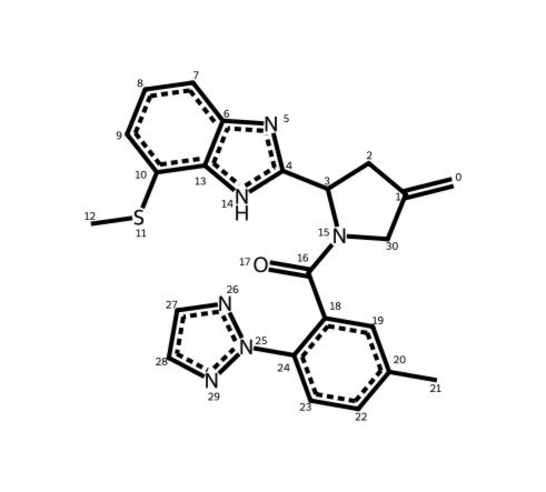 C=C1CC(c2nc3cccc(SC)c3[nH]2)N(C(=O)c2cc(C)ccc2-n2nccn2)C1